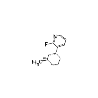 C[C@H]1C=C(c2cccnc2F)CCC1